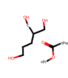 CCCCCC(=O)OCCC.OCCCC(CO)CO